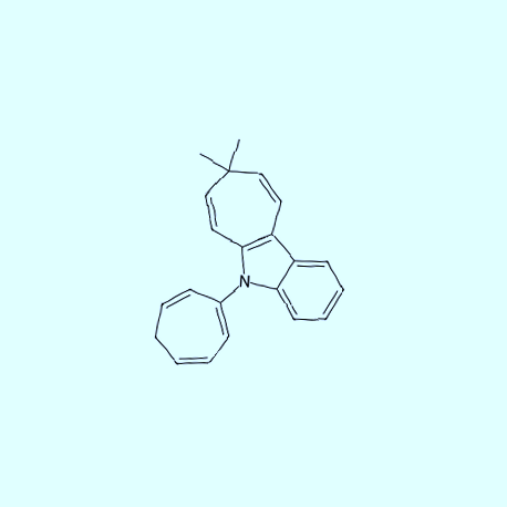 CC1(C)C=Cc2c(n(C3=CC=CCC=C3)c3ccccc23)C=C1